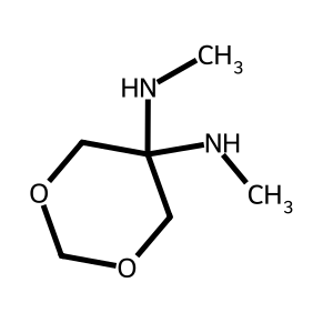 CNC1(NC)COCOC1